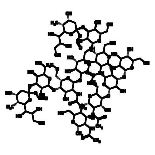 COC[C@@H]1O[C@@H](OC2[C@@H](OCC3O[C@@H](O[C@@H]4C(CO)O[C@@H](O[C@@H]5C(CO)O[C@@H](C)C(NC(C)=O)[C@H]5O)C(NC(C)=O)[C@H]4O)C(O)[C@@H](O[C@H]4OC(CO)[C@@H](O)C(O)C4O[C@@H]4OC(CO)[C@@H](O[C@@H]5OC(CO)[C@H](O)[C@H](O[C@]6(OC=O)C[C@@H](O)[C@@H](C)C(C(O)C(O)CO)O6)C5O)[C@H](O)C4NC(C)=O)[C@@H]3O)OC(CO)[C@@H](O)[C@@H]2O)C(NC(C)=O)C(O)[C@@H]1O[C@@H]1OC(CO)[C@H](O)[C@H](O[C@]2(OC=O)C[C@@H](O)[C@@H](C)C(C(O)C(O)CO)O2)C1O